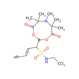 CCC/C=C/C(B1OC(=O)C(C)(C)N(C)C(C)(C)C(=O)O1)S(=O)(=O)NCC(Cl)(Cl)Cl